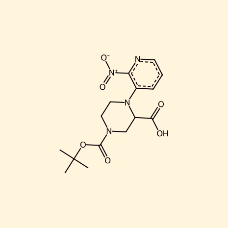 CC(C)(C)OC(=O)N1CCN(c2cccnc2[N+](=O)[O-])C(C(=O)O)C1